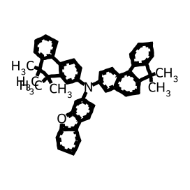 CC1(C)c2ccccc2-c2c1ccc1cc(N(c3ccc4c(c3)C(C)(C)C(C)(C)c3ccccc3-4)c3ccc4c(c3)oc3ccccc34)ccc21